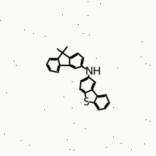 CC1(C)c2ccccc2-c2cc(Nc3ccc4sc5ccccc5c4c3)ccc21